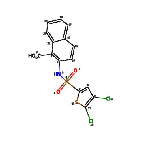 O=C(O)c1c(NS(=O)(=O)c2cc(Cl)c(Cl)s2)ccc2ccccc12